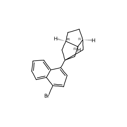 Brc1ccc(C23C[C@H]4CC[C@@H](C2)[C@@H]4C3)c2ccccc12